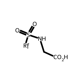 O=C(O)CN[S](=O)(=O)[Rf]